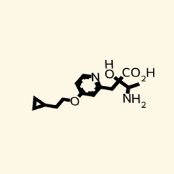 CC(N)C(O)(Cc1cc(OCCC2CC2)ccn1)C(=O)O